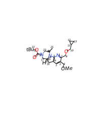 COCc1cc2c(nc1COCC1CC1)N1[C@H](C2)CN(C(=O)OC(C)(C)C)C[C@H]1C